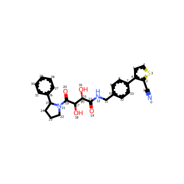 N#Cc1sccc1-c1ccc(CNC(=O)[C@H](O)C(O)C(=O)N2CCCC2c2ccccc2)cc1